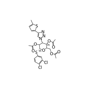 CC(=O)OCC1O[C@H](Sc2ccc(Cl)c(Cl)c2)C(OC(C)=O)C(n2cc(-c3ccc(C)s3)nn2)[C@H]1OC(C)=O